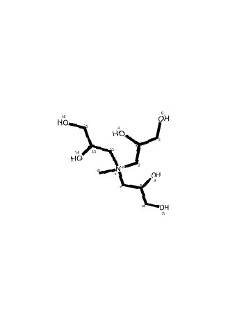 C[N+](CC(O)CO)(CC(O)CO)CC(O)CO